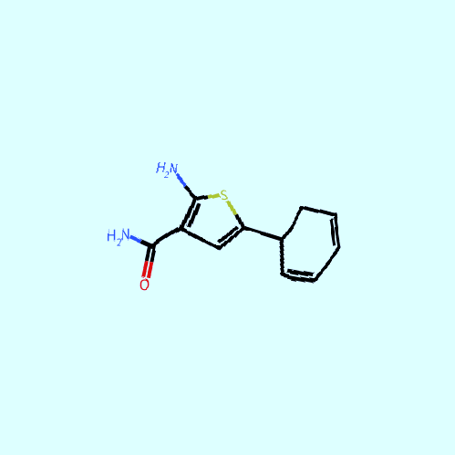 NC(=O)c1cc(C2C=CC=CC2)sc1N